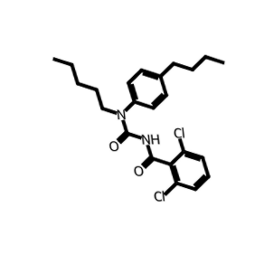 CCCCCN(C(=O)NC(=O)c1c(Cl)cccc1Cl)c1ccc(CCCC)cc1